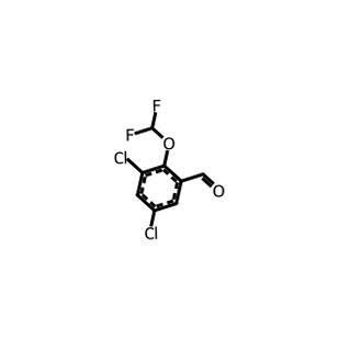 O=Cc1cc(Cl)cc(Cl)c1OC(F)F